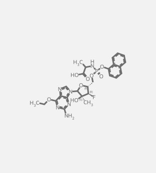 CCOc1nc(N)nc2c1ncn2C1O[C@H](COP(=O)(NC(C)C(=O)O)Oc2cccc3ccccc23)[C@@H](F)[C@@]1(C)O